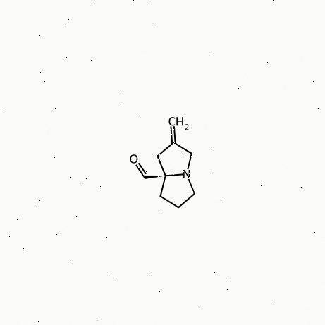 C=C1CN2CCC[C@]2(C=O)C1